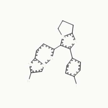 Nc1cn2nc(-c3c(-c4ccc(F)cc4)nc4n3CCC4)ccc2n1